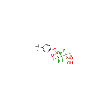 CC(C)(C)c1ccc(OS(=O)(=O)C(F)(F)C(F)(F)C(F)(F)S(=O)(=O)O)cc1